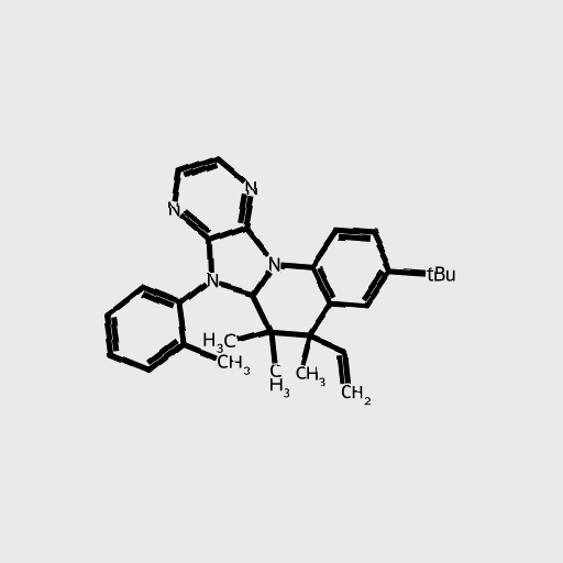 C=CC1(C)c2cc(C(C)(C)C)ccc2N2c3nccnc3N(c3ccccc3C)C2C1(C)C